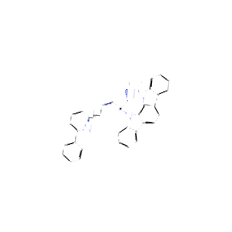 C=CCC(C)(/C=C\Cc1cccc(-c2ccccc2)n1)n1c2ccccc2c2ccc3c4ccccc4[nH]c3c21